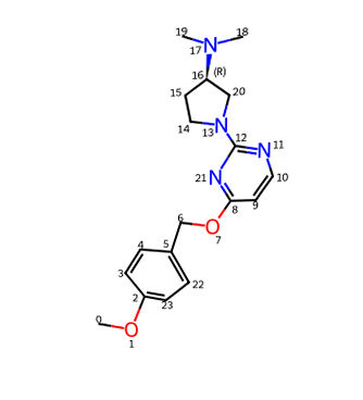 COc1ccc(COc2ccnc(N3CC[C@@H](N(C)C)C3)n2)cc1